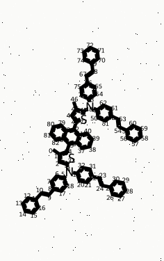 Cc1cc(N(c2ccc(C=Cc3ccccc3)cc2)c2ccc(C=Cc3ccccc3)cc2)sc1-c1c2ccccc2c(-c2cc(C)c(N(c3ccc(C=Cc4ccccc4)cc3)c3ccc(C=Cc4ccccc4)cc3)s2)c2ccccc12